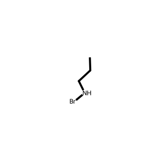 CCCNBr